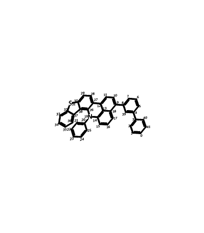 c1ccc(-c2cccc(-c3ccc4c5c(cccc35)N(c3ccccc3)c3c-4ccc4sc5ccccc5c34)c2)cc1